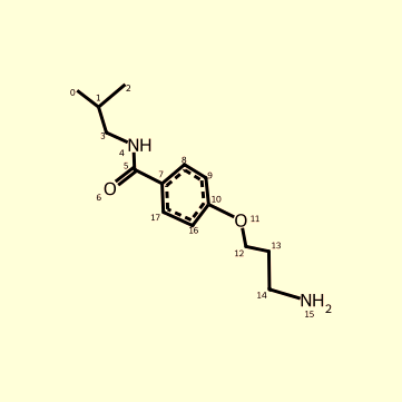 CC(C)CNC(=O)c1ccc(OCCCN)cc1